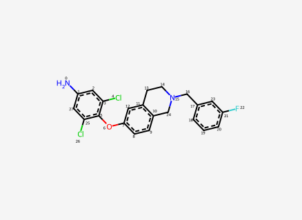 Nc1cc(Cl)c(Oc2ccc3c(c2)CCN(Cc2cccc(F)c2)C3)c(Cl)c1